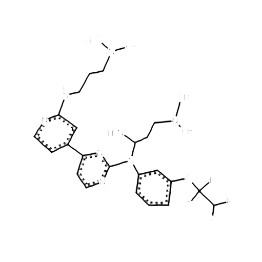 CN(C)CCCNc1cc(-c2ccnc(N(c3cccc(OC(F)(F)C(F)F)c3)C(N)CCN(C)C)n2)ccn1